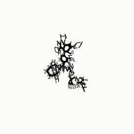 Cc1c(Cl)cc2[nH]nc(Cl)c2c1-c1c(F)cc2c(N3C[C@H]4CC[C@](C)(C3)N4)nc(OCC3(CN4CC[C@@H](F)C4)CC3)nc2c1F